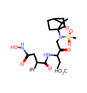 CC(C)C(CC(=O)NO)C(=O)NC(CC(=O)O)C(=O)CN(C12CCC(CC1=O)C2(C)C)S(C)(=O)=O